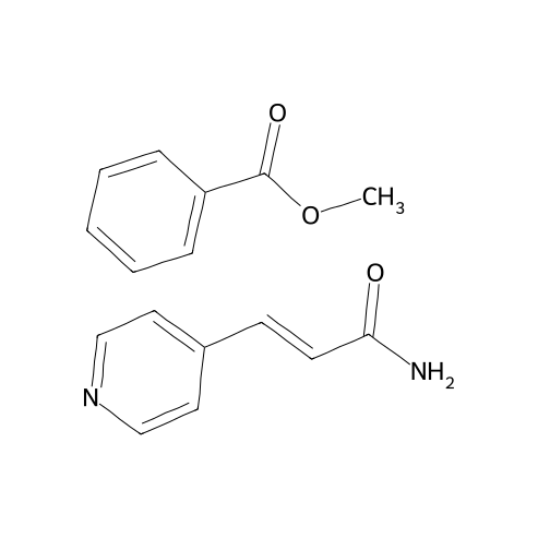 COC(=O)c1ccccc1.NC(=O)/C=C/c1ccncc1